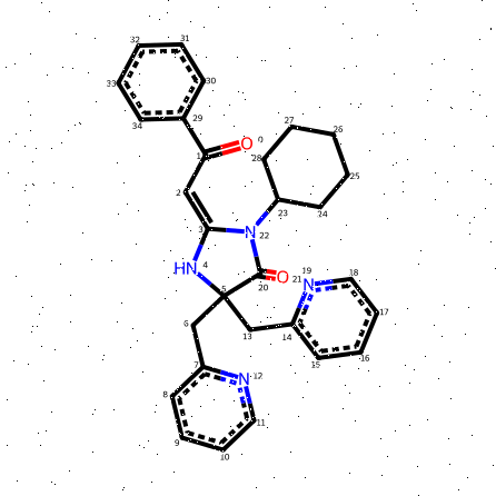 O=C(C=C1NC(Cc2ccccn2)(Cc2ccccn2)C(=O)N1C1CCCCC1)c1ccccc1